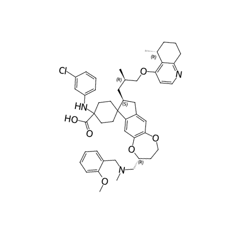 COc1ccccc1CN(C)C[C@H]1CCOc2cc3c(cc2O1)C1(CCC(Nc2cccc(Cl)c2)(C(=O)O)CC1)[C@@H](C[C@@H](C)COc1ccnc2c1[C@H](C)CCC2)C3